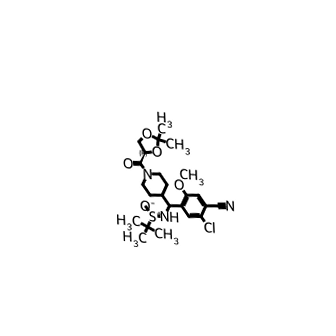 COc1cc(C#N)c(Cl)cc1C(N[S+]([O-])C(C)(C)C)C1CCN(C(=O)[C@H]2COC(C)(C)O2)CC1